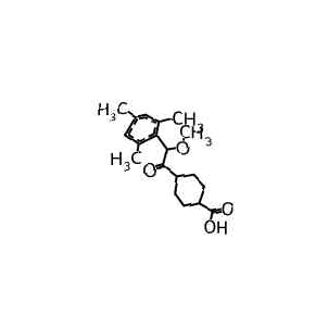 COC(C(=O)C1CCC(C(=O)O)CC1)c1c(C)cc(C)cc1C